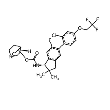 CC1(C)Cc2cc(-c3ccc(OCC(F)(F)F)cc3Cl)c(F)cc2[C@@H]1NC(=O)O[C@@H]1CN2CCC1CC2